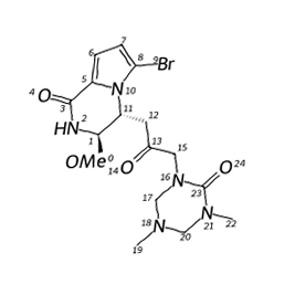 CO[C@H]1NC(=O)c2ccc(Br)n2[C@@H]1CC(=O)CN1CN(C)CN(C)C1=O